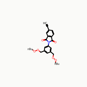 C#Cc1ccc2c(c1)C(=O)N(c1cc(COOCCCC)cc(COOCCCC)c1)C2=O